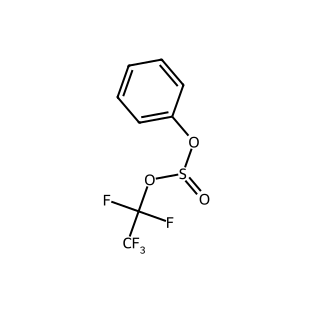 O=S(Oc1ccccc1)OC(F)(F)C(F)(F)F